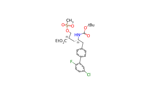 CCOC(=O)[C@H](COS(C)(=O)=O)C[C@@H](Cc1ccc(-c2cc(Cl)ccc2F)cc1)NC(=O)OC(C)(C)C